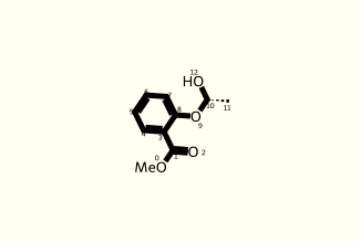 COC(=O)c1ccccc1O[C@@H](C)O